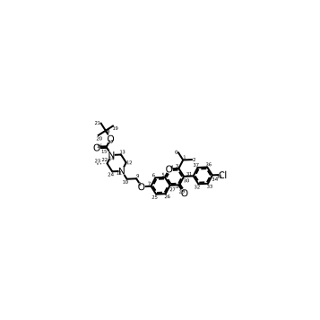 CC(C)c1oc2cc(OCCN3CCN(C(=O)OC(C)(C)C)[C@@H](C)C3)ccc2c(=O)c1-c1ccc(Cl)cc1